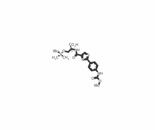 CC(C)(C)OC(=O)Nc1ccc(-c2nc(C(=O)N[C@@H](CO[Si](C)(C)C(C)(C)C)C(=O)O)cs2)cc1